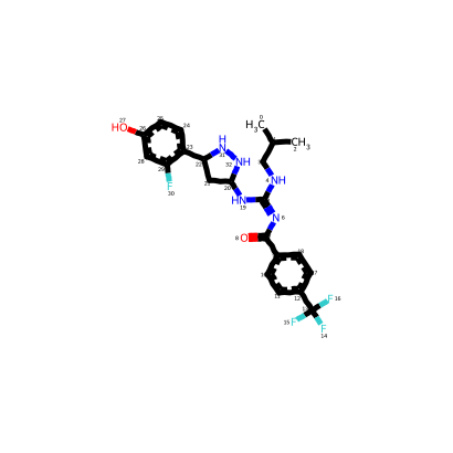 CC(C)CN/C(=N/C(=O)c1ccc(C(F)(F)F)cc1)NC1CC(c2ccc(O)cc2F)NN1